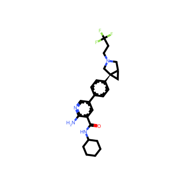 Nc1ncc(-c2ccc([C@]34CC3CN(CCC(F)(F)F)C4)cc2)cc1C(=O)NC1CCCCC1